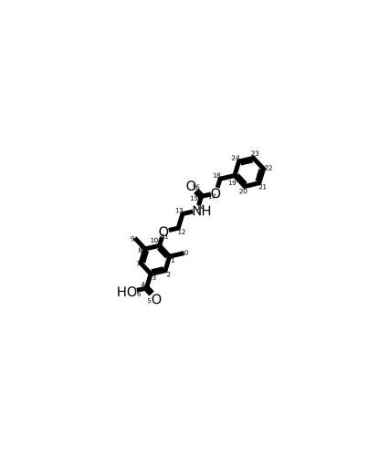 Cc1cc(C(=O)O)cc(C)c1OCCNC(=O)OCc1ccccc1